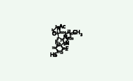 CC(=O)N1CCOC(Cc2c(-c3c(F)cc(S)cc3F)nc3cc(C)ccn23)C1